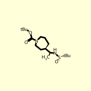 C[C@H](N[S@+]([O-])C(C)(C)C)[C@@H]1CCCN(C(=O)OC(C)(C)C)CC1